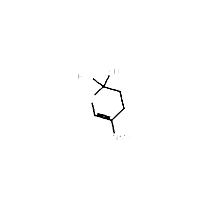 CNC1=COC(C)(C)CC1